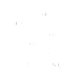 CC(O)C(O)OC(=O)ON